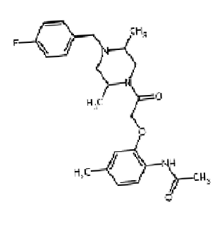 CC(=O)Nc1ccc(C)cc1OCC(=O)N1CC(C)N(Cc2ccc(F)cc2)CC1C